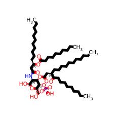 CCCCCCCCCCC[C@H](CC(=O)N[C@@H]1[C@@H](OC(=O)C[C@@H](CCCCCCCCCCC)C(=O)CCCCCCCCC)[C@H](OP(=O)(O)O)[C@@H](CO)O[C@H]1O)OC(=O)CCCCCCCCC